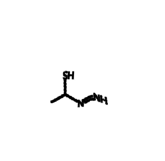 CC(S)N=N